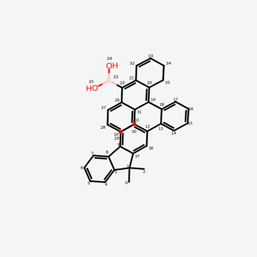 CC1(C)c2ccccc2-c2ccc(-c3ccccc3-c3c4c(c(B(O)O)c5ccccc35)C=CCC4)cc21